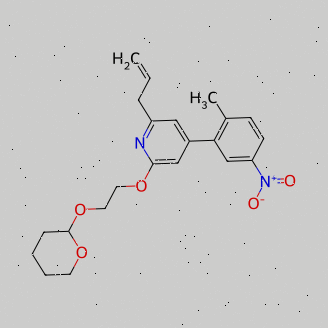 C=CCc1cc(-c2cc([N+](=O)[O-])ccc2C)cc(OCCOC2CCCCO2)n1